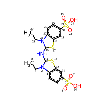 CCN1c2ccc(S(=O)(=O)O)cc2SC1NC1Sc2cc(S(=O)(=O)O)ccc2N1CC